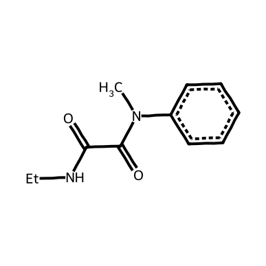 CCNC(=O)C(=O)N(C)c1ccccc1